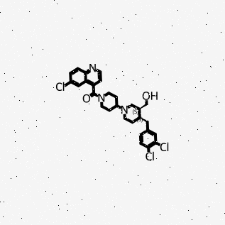 O=C(c1ccnc2ccc(Cl)cc12)N1CCC(N2CC[C@H](Cc3ccc(Cl)c(Cl)c3)[C@H](CO)C2)CC1